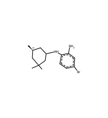 C[C@H]1CC(Nc2ccc(Br)cc2N)CC(C)(C)C1